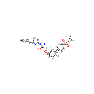 O=C(O)Cc1nc(NC(=O)COc2ccc(F)c(-c3ccc(S(=O)(=O)C4CC4)cc3)c2F)sc1F